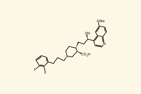 COc1ccc2nccc([C@H](O)CC[C@@H]3CCN(CCCc4cccc(F)c4F)C[C@@H]3C(=O)O)c2c1